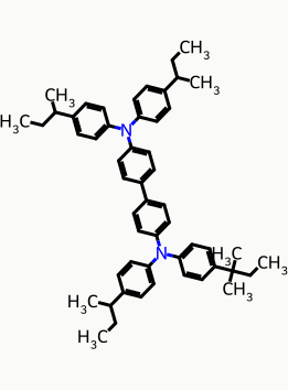 CCC(C)c1ccc(N(c2ccc(-c3ccc(N(c4ccc(C(C)CC)cc4)c4ccc(C(C)(C)CC)cc4)cc3)cc2)c2ccc(C(C)CC)cc2)cc1